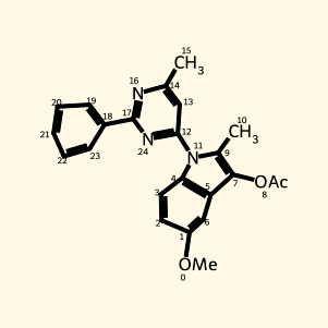 COc1ccc2c(c1)c(OC(C)=O)c(C)n2-c1cc(C)nc(-c2ccccc2)n1